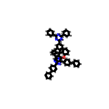 c1ccc(-c2ccc(-c3nc(-c4ccc(-c5ccccc5)cc4)nc(-c4cccc5c4C4(c6ccccc6Oc6ccccc64)c4ccc(-c6nc(-c7ccccc7)nc(-c7ccccc7)n6)cc4-5)n3)cc2)cc1